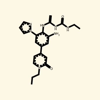 C=C(NC(=O)NCC)Nc1c(N)cc(-c2ccn(CCC)c(=O)c2)cc1-n1cccn1